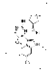 CCO[C@@H]1CNC[C@H]1Nc1ncc(C(F)(F)F)c(-c2c[nH]c3cc(C#N)ccc23)n1